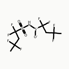 CC(F)(F)CC(F)(F)[S+]([O-])NS(=O)(=O)C(F)(F)CC(C)(F)F